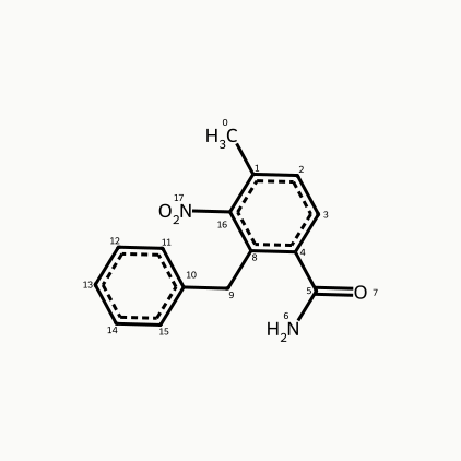 Cc1ccc(C(N)=O)c(Cc2ccccc2)c1[N+](=O)[O-]